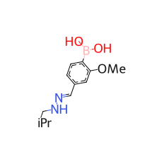 COc1cc(/C=N/NCC(C)C)ccc1B(O)O